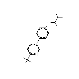 CCOC(=O)C(F)(F)c1ccc(-c2ccc(OC(F)C(F)F)cc2)cn1